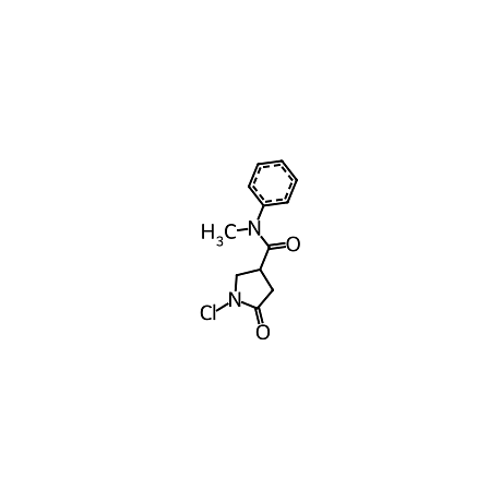 CN(C(=O)C1CC(=O)N(Cl)C1)c1ccccc1